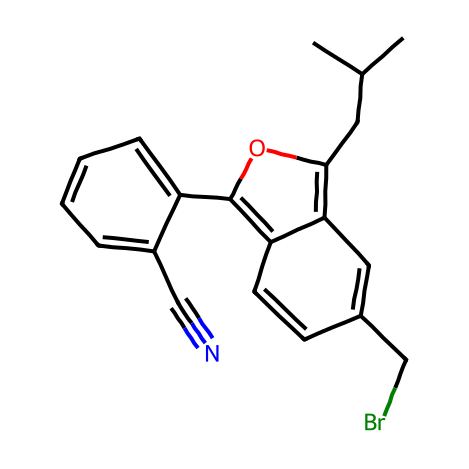 CC(C)Cc1oc(-c2ccccc2C#N)c2ccc(CBr)cc12